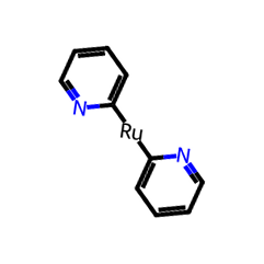 c1cc[c]([Ru][c]2ccccn2)nc1